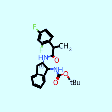 CC(C(=O)N[C@H]1Cc2ccccc2C1NC(=O)OC(C)(C)C)c1ccc(F)cc1F